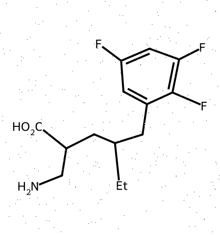 CCC(Cc1cc(F)cc(F)c1F)CC(CN)C(=O)O